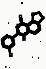 O=c1cc(-c2cccc(Cl)c2)[nH]c2ccc3c(c12)OCO3